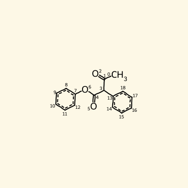 CC(=O)C(C(=O)Oc1ccccc1)c1ccccc1